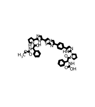 COC(=O)N[C@@H](C(=O)N1CCCC1c1ncc(-c2cn3cc(-c4ccc(-c5cnc([C@@H]6CCCN6C(=O)[C@H](NC(=O)O)c6ccccc6)[nH]5)cc4)nc3s2)[nH]1)c1ccccc1